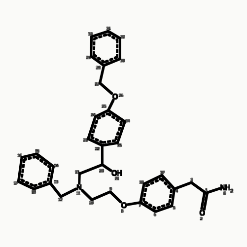 NC(=O)Cc1ccc(OCCN(Cc2ccccc2)CC(O)c2ccc(OCc3ccccc3)cc2)cc1